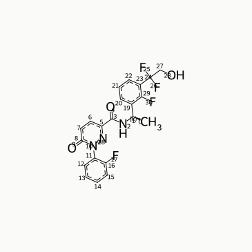 C[C@@H](NC(=O)c1ccc(=O)n(-c2ccccc2F)n1)c1cccc(C(F)(F)CO)c1F